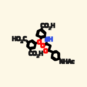 CC(=O)Nc1ccc(C(=O)CC(=O)Nc2cc(C(=O)O)ccc2Oc2cc(C(=O)O)cc(C(=O)O)c2)cc1